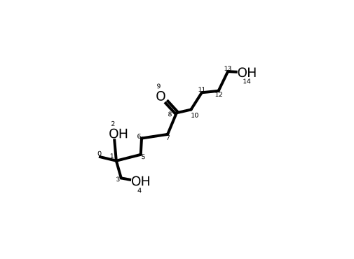 CC(O)(CO)CCCC(=O)CCCCO